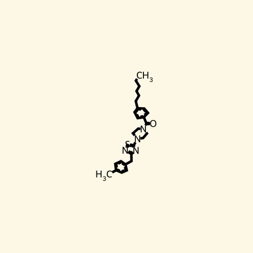 CCCCCCc1ccc(C(=O)N2CCN(c3nc(Cc4ccc(C)cc4)ns3)CC2)cc1